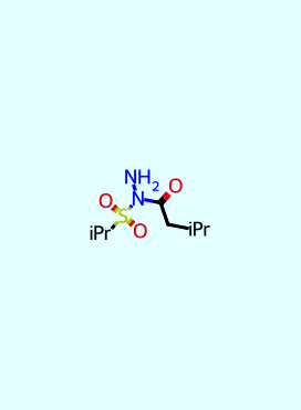 CC(C)CC(=O)N(N)S(=O)(=O)C(C)C